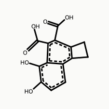 O=C(O)c1c2c(c3ccc(O)c(O)c3c1C(=O)O)CC2